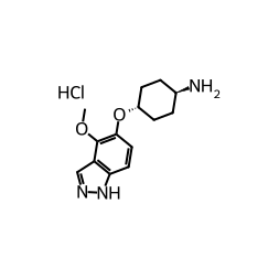 COc1c(O[C@H]2CC[C@H](N)CC2)ccc2[nH]ncc12.Cl